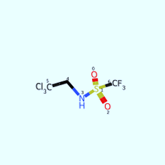 O=S(=O)(NCC(Cl)(Cl)Cl)C(F)(F)F